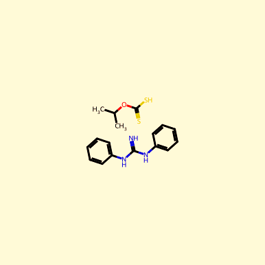 CC(C)OC(=S)S.N=C(Nc1ccccc1)Nc1ccccc1